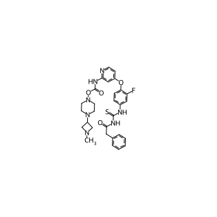 CN1CC(N2CCN(OC(=O)Nc3cc(Oc4ccc(NC(=S)NC(=O)Cc5ccccc5)cc4F)ccn3)CC2)C1